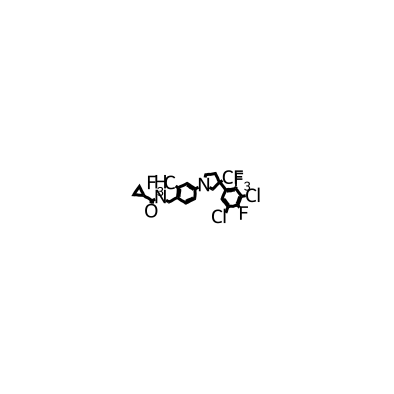 O=C(NCc1ccc(N2CCC(c3cc(Cl)c(F)c(Cl)c3F)(C(F)(F)F)C2)cc1C(F)(F)F)C1CC1